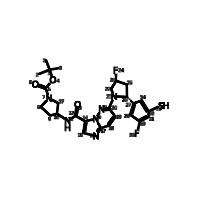 CC(C)(C)OC(=O)N1CCC(NC(=O)c2cnc3ccc(N4C[C@@H](F)C[C@@H]4c4cc(F)cc(S)c4)nn23)C1